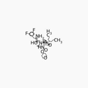 CCCC(CCC)S(=O)(=O)CC(NC(=O)OC1CCOCC1)C(=O)N(C[C@@H](O)[C@@H](N)Cc1cc(F)cc(F)c1)C1CC1